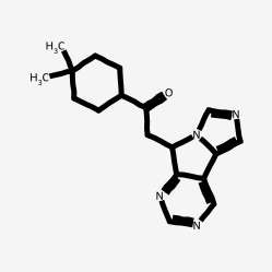 CC1(C)CCC(C(=O)CC2c3ncncc3-c3cncn32)CC1